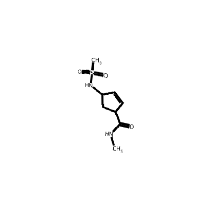 CNC(=O)C1C=CC(NS(C)(=O)=O)C1